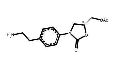 CC(=O)OC[C@H]1CN(c2ccc(CCN)cc2)C(=O)O1